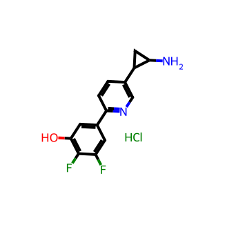 Cl.NC1CC1c1ccc(-c2cc(O)c(F)c(F)c2)nc1